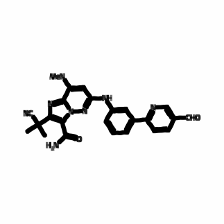 CNc1cc(Nc2cccc(-c3ccc(C=O)cn3)c2)nn2c(C(N)=O)c(C(C)(C)C#N)nc12